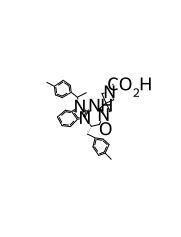 Cc1ccc(C[C@@H](C(=O)N2CC3(CN(C(=O)O)C3)C2)n2c(=N)n(C(C)c3ccc(C)cc3)c3ccccc32)cc1